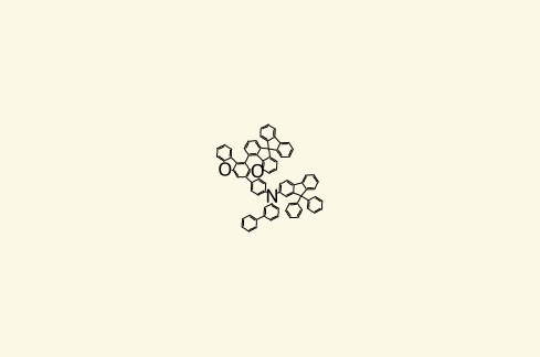 c1ccc(-c2cccc(N(c3ccc4c(c3)C(c3ccccc3)(c3ccccc3)c3ccccc3-4)c3ccc4c(c3)oc3c(-c5cccc6c5-c5ccccc5C65c6ccccc6-c6ccccc65)c5c(cc34)oc3ccccc35)c2)cc1